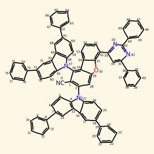 N#Cc1c(-n2c3ccc(-c4ccccc4)cc3c3cc(-c4ccccc4)ccc32)cc2oc3c(-c4cc(-c5ccccc5)nc(-c5ccccc5)n4)cccc3c2c1-n1c2ccc(-c3ccccc3)cc2c2cc(-c3ccccc3)ccc21